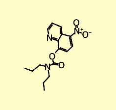 CCCN(CCC)C(=O)Oc1ccc([N+](=O)[O-])c2cccnc12